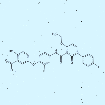 CCOc1ccn(-c2ccc(F)cc2)c(=O)c1C(=O)Nc1ccc(Oc2ccc(O)c(C(C)=O)c2)c(F)c1